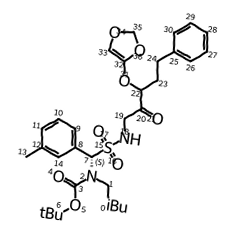 CCC(C)CN(C(=O)OC(C)(C)C)[C@H](c1cccc(C)c1)S(=O)(=O)NCC(=O)C(CCc1ccccc1)OC1=COCO1